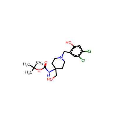 CC(C)(C)OC(=O)NC1(CO)CCN(Cc2cc(Cl)c(Cl)cc2O)CC1